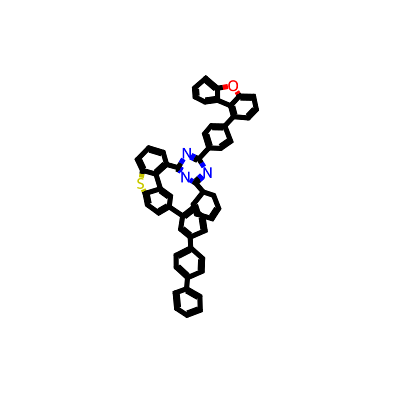 C1=CCC(c2nc(-c3ccc(-c4cccc5oc6ccccc6c45)cc3)nc(-c3cccc4sc5ccc(-c6cccc(-c7ccc(-c8ccccc8)cc7)c6)cc5c34)n2)C=C1